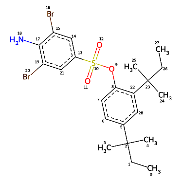 CCC(C)(C)c1ccc(OS(=O)(=O)c2cc(Br)c(N)c(Br)c2)c(C(C)(C)CC)c1